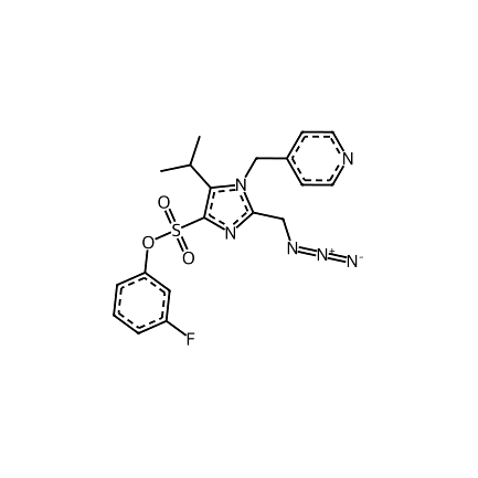 CC(C)c1c(S(=O)(=O)Oc2cccc(F)c2)nc(CN=[N+]=[N-])n1Cc1ccncc1